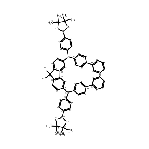 CC1(C)OB(c2ccc(N(c3ccc(-c4ccccc4)cc3)c3ccc4c(c3)-c3cc(N(c5ccc(B6OC(C)(C)C(C)(C)O6)cc5)c5ccc(-c6ccccc6)cc5)ccc3C4(F)F)cc2)OC1(C)C